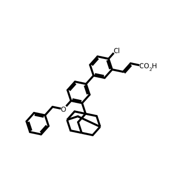 O=C(O)/C=C/c1cc(-c2ccc(OCc3ccccc3)c(C34CC5CC(CC(C5)C3)C4)c2)ccc1Cl